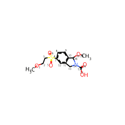 COCCS(=O)(=O)c1ccc2c(c1)CN(C(=O)O)C2OC